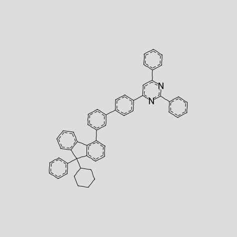 c1ccc(-c2cc(-c3ccc(-c4cccc(-c5cccc6c5-c5ccccc5C6(c5ccccc5)C5CCCCC5)c4)cc3)nc(-c3ccccc3)n2)cc1